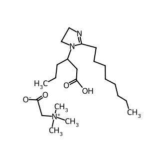 CCCCCCCCC1=NCCN1C(CCC)CC(=O)O.C[N+](C)(C)CC(=O)[O-]